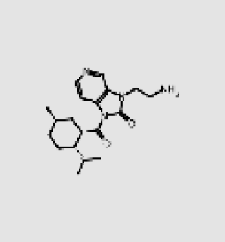 CC(C)[C@@H]1CC[C@@H](C)C[C@H]1C(=O)n1c(=O)n(CCN)c2cnccc21